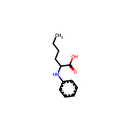 CCCCC(Nc1ccccc1)C(=O)O